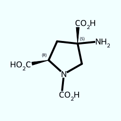 N[C@@]1(C(=O)O)C[C@H](C(=O)O)N(C(=O)O)C1